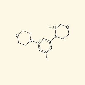 Cc1cc(N2CCOCC2)cc(N2CCOC[C@H]2C)c1